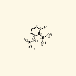 CC(=O)Nc1cccc(F)c1B(O)O